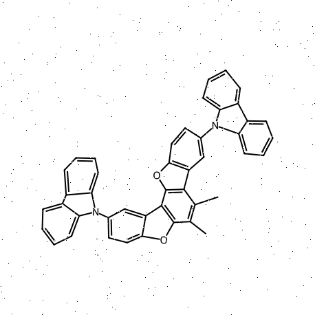 Cc1c(C)c2c3cc(-n4c5ccccc5c5ccccc54)ccc3oc2c2c1oc1ccc(-n3c4ccccc4c4ccccc43)cc12